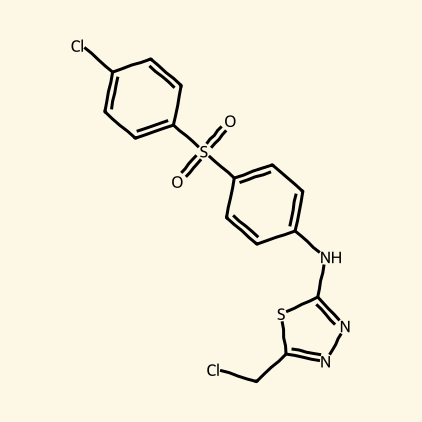 O=S(=O)(c1ccc(Cl)cc1)c1ccc(Nc2nnc(CCl)s2)cc1